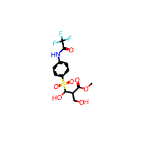 COC(=O)C(CO)C(O)S(=O)(=O)c1ccc(NC(=O)C(F)(F)F)cc1